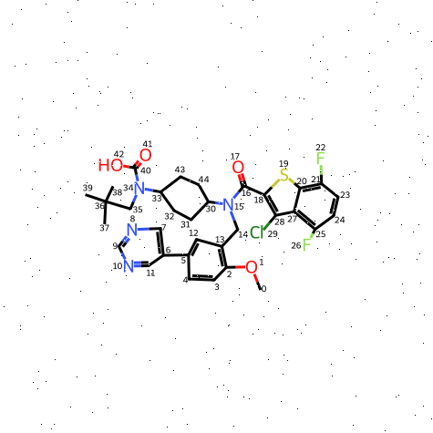 COc1ccc(-c2cncnc2)cc1CN(C(=O)c1sc2c(F)ccc(F)c2c1Cl)C1CCC(N(CC(C)(C)C)C(=O)O)CC1